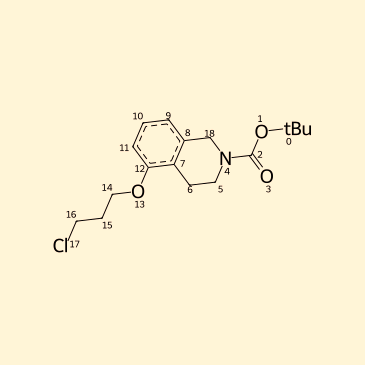 CC(C)(C)OC(=O)N1CCc2c(cccc2OCCCCl)C1